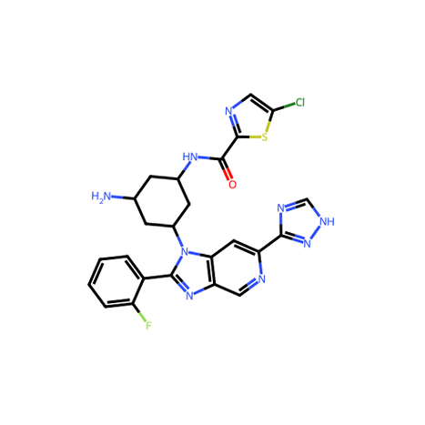 NC1CC(NC(=O)c2ncc(Cl)s2)CC(n2c(-c3ccccc3F)nc3cnc(-c4nc[nH]n4)cc32)C1